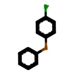 Brc1ccc(Sc2ccccc2)cc1